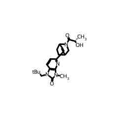 C[C@H](O)C(=O)N1CC2CCC1C=C2c1ccc2c(n1)n(C)c(=O)n2CC(C)(C)C